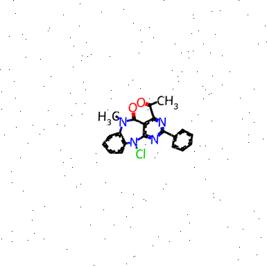 CC(=O)c1nc(-c2ccccc2)nc2c1C(=O)N(C)c1ccccc1N2Cl